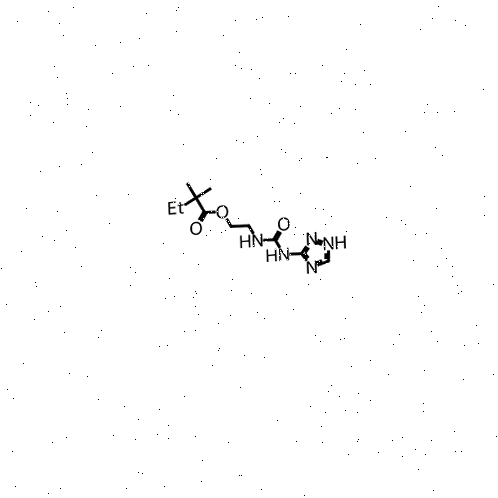 CCC(C)(C)C(=O)OCCNC(=O)Nc1nc[nH]n1